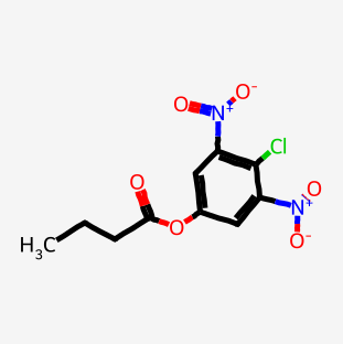 CCCC(=O)Oc1cc([N+](=O)[O-])c(Cl)c([N+](=O)[O-])c1